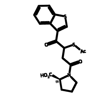 CC(=O)SC(CC(=O)N1CCC[C@H]1C(=O)O)C(=O)c1csc2ccccc12